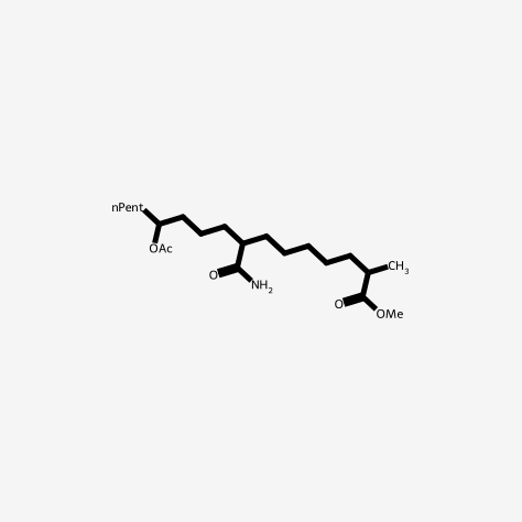 CCCCCC(CCCC(CCCCCC(C)C(=O)OC)C(N)=O)OC(C)=O